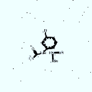 CCCCNCCC.CCc1cccc(NC(N)=O)c1